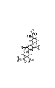 CCC(=O)Nc1cccc(-c2cc(C#N)c(N3CCN(C(=O)C4CC4)[C@H](C4CC4)C3)nc2C2CC2)c1